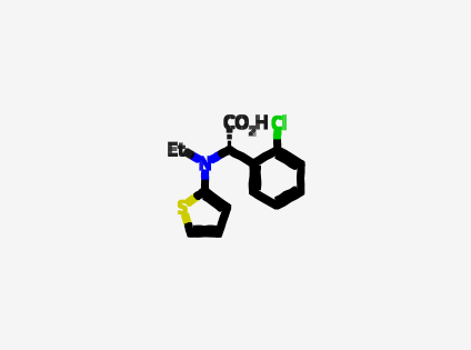 CCN(c1cccs1)[C@H](C(=O)O)c1ccccc1Cl